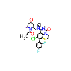 C=CC(=O)N1C(I)CC(=O)CC1CN(C)c1nc(=O)n2c3c(c(-c4ccc(F)cc4F)c(Cl)cc13)SCC2